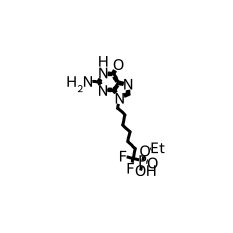 CCOP(=O)(O)C(F)(F)CCCCCCn1cnc2c(=O)[nH]c(N)nc21